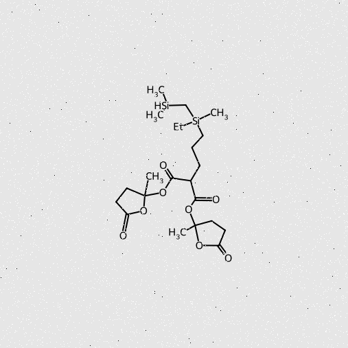 CC[Si](C)(CCCC(C(=O)OC1(C)CCC(=O)O1)C(=O)OC1(C)CCC(=O)O1)C[SiH](C)C